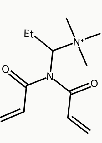 C=CC(=O)N(C(=O)C=C)C(CC)[N+](C)(C)C